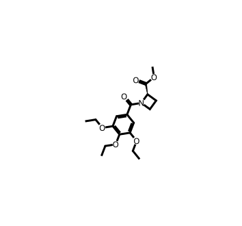 CCOc1cc(C(=O)N2CC[C@@H]2C(=O)OC)cc(OCC)c1OCC